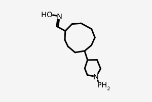 O/N=C/C1CCCCCC(C2CCN(P)CC2)CCC1